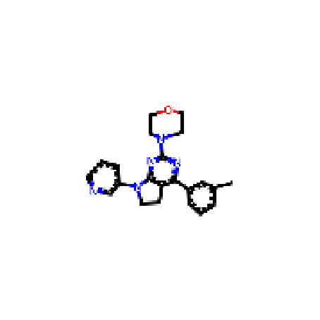 Cc1cccc(-c2nc(N3CCOCC3)nc3c2CCN3c2cccnc2)c1